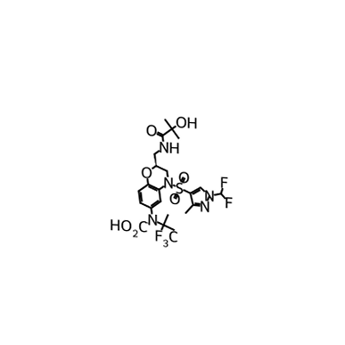 Cc1nn(C(F)F)cc1S(=O)(=O)N1C[C@H](CNC(=O)C(C)(C)O)Oc2ccc(N(C(=O)O)C(C)(C)C(F)(F)F)cc21